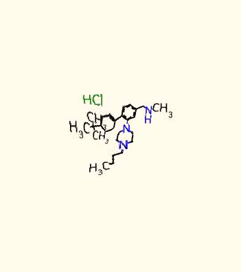 CCCCN1CCN(c2cc(CNC)ccc2C2=CCC(C(C)(C)C)CC2)CC1.Cl